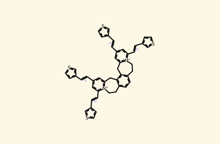 C(=C\c1cc(/C=C/c2ccsc2)[n+]2c(c1)Cc1c(ccc3c1Cc1cc(/C=C/c4ccsc4)cc(/C=C/c4ccsc4)[n+]1CC3)CC2)/c1ccsc1